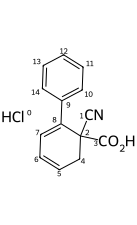 Cl.N#CC1(C(=O)O)CC=CC=C1c1ccccc1